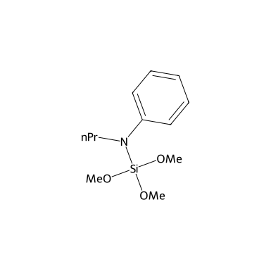 CCCN(c1ccccc1)[Si](OC)(OC)OC